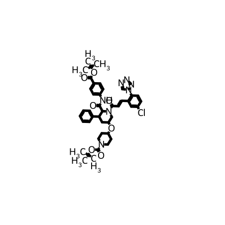 CC(C)(C)OC(=O)c1ccc(NC(=O)C2C(c3ccccc3)CC(OC3CCN(C(=O)OC(C)(C)C)CC3)CN2C(=O)/C=C/c2cc(Cl)ccc2-n2cnnn2)cc1